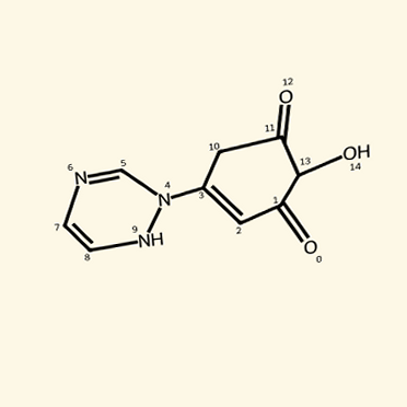 O=C1C=C(N2C=NC=CN2)CC(=O)C1O